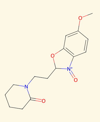 COc1ccc2c(c1)OC(CCN1CCCCC1=O)[N+]2=O